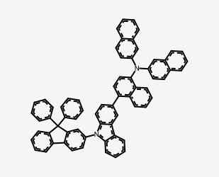 c1ccc(C2(c3ccccc3)c3ccccc3-c3ccc(-n4c5ccccc5c5cc(-c6ccc(N(c7ccc8ccccc8c7)c7ccc8ccccc8c7)c7ccccc67)ccc54)cc32)cc1